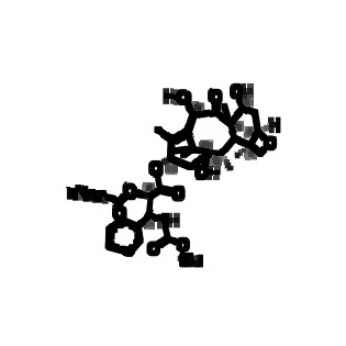 CCCCCCCCCC(=O)O[C@@H](C(=O)O[C@H]1C[C@@]2(O)[C@@H](C)C3[C@]4(C)CO[C@@H]4C[C@H](O)[C@@]3(C)C(=O)[C@H](O)C(=C1C)C2(C)C)[C@@H](NC(=O)OC(C)(C)C)c1ccccc1